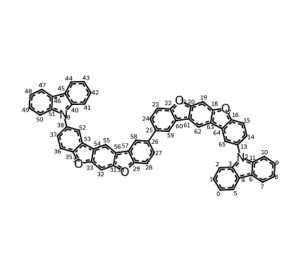 c1ccc2c(c1)c1ccccc1n2-c1ccc2oc3cc4oc5ccc(-c6ccc7oc8cc9oc%10ccc(-n%11c%12ccccc%12c%12ccccc%12%11)cc%10c9cc8c7c6)cc5c4cc3c2c1